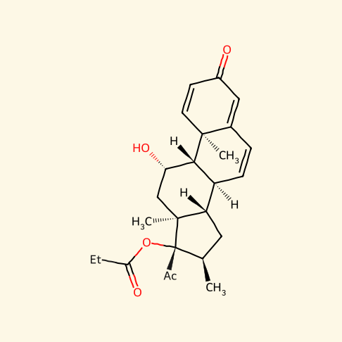 CCC(=O)O[C@@]1(C(C)=O)[C@H](C)C[C@H]2[C@@H]3C=CC4=CC(=O)C=C[C@]4(C)[C@H]3[C@@H](O)C[C@@]21C